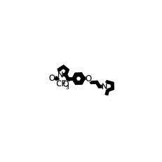 CC1CCCN1CCCOc1ccc(C(=O)C2CCCN2C(=O)C(F)(F)F)cc1